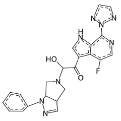 O=C(c1c[nH]c2c(-n3nccn3)ncc(F)c12)C(O)N1CC2C=NN(c3ccccc3)C2C1